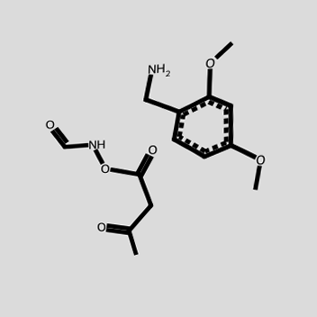 CC(=O)CC(=O)ONC=O.COc1ccc(CN)c(OC)c1